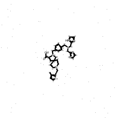 Cc1ccsc1CN1CCC2(CC1)CC(C(=O)O)N(Cc1ccc(CN(Cc3ncc[nH]3)Cc3ncc[nH]3)cc1)C2